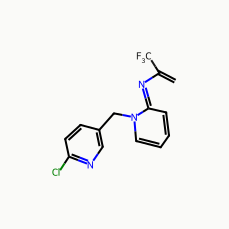 C=C(/N=c1\ccccn1Cc1ccc(Cl)nc1)C(F)(F)F